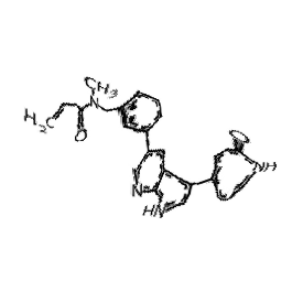 C=CC(=O)N(C)c1cccc(-c2cnc3[nH]cc(-c4cc[nH]c(=O)c4)c3c2)c1